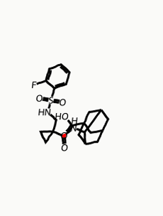 O=C(O)C12CC3CC(C1)C(NC(=O)C1(CNS(=O)(=O)c4ccccc4F)CC1)C(C3)C2